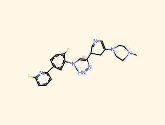 CN1CCN(C2=CN=CC(/C(=C/N(C)c3cc(-c4cccc(F)n4)ccc3F)N=N)C2)CC1